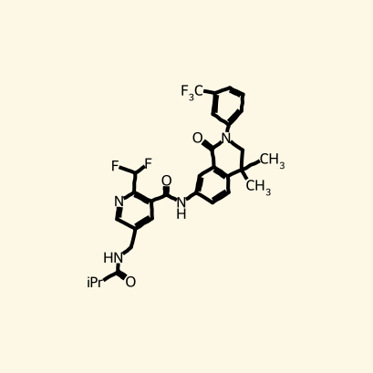 CC(C)C(=O)NCc1cnc(C(F)F)c(C(=O)Nc2ccc3c(c2)C(=O)N(c2cccc(C(F)(F)F)c2)CC3(C)C)c1